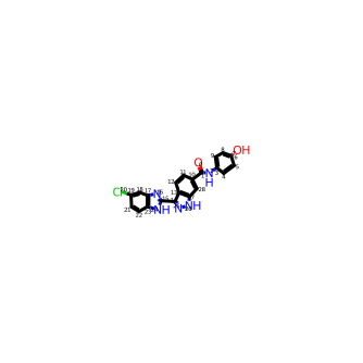 O=C(Nc1ccc(O)cc1)c1ccc2c(-c3nc4cc(Cl)ccc4[nH]3)n[nH]c2c1